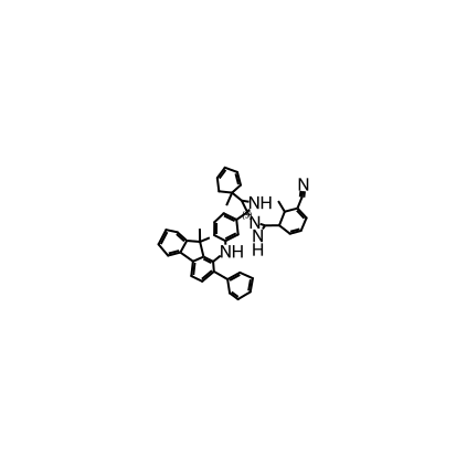 CC1C(C#N)=CC=CC1C1NN1[C@]1(c2cccc(Nc3c(-c4ccccc4)ccc4c3C(C)(C)c3ccccc3-4)c2)NC1C1(C)C=CC=CC1